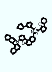 C1=Cc2oc3c(-c4nc(-c5cccc(-c6ccccc6)c5)nc(-c5ccc6ccc7oc8c(-n9c%10cc%11ccccc%11cc%10c%10c%11ccccc%11ccc%109)cccc8c7c6c5)n4)cccc3c2CC1